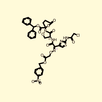 O=C(CCl)Nc1nc(/C(=N/OCC(=O)OCc2ccc([N+](=O)[O-])cc2)C(=O)N[C@H]2CON(C3(C(=O)OC(c4ccccc4)c4ccccc4)CCC(=O)O3)C2=O)cs1